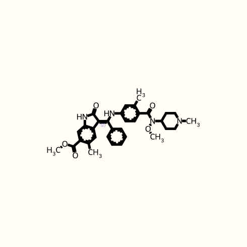 COC(=O)c1cc2c(cc1C)/C(=C(/Nc1ccc(C(=O)N(OC)C3CCN(C)CC3)c(C)c1)c1ccccc1)C(=O)N2